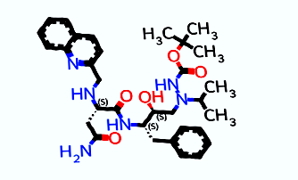 CC(C)N(C[C@H](O)[C@H](Cc1ccccc1)NC(=O)[C@H](CC(N)=O)NCc1ccc2ccccc2n1)NC(=O)OC(C)(C)C